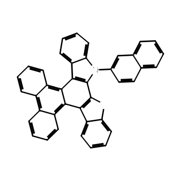 c1ccc2cc(-n3c4ccccc4c4c5c6ccccc6c6ccccc6c5c5c6ccccc6oc5c43)ccc2c1